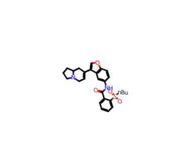 CCCCS(=O)(=O)c1ccccc1C(=O)Nc1ccc2occ(C3=CCN4CCCC4C3)c2c1